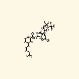 CC(C)C/C=C\CC1CCCC(C(=O)OC2C3CC4C2OC(=O)C4C3C(=O)OC(C(F)(F)F)C(F)(F)F)C1